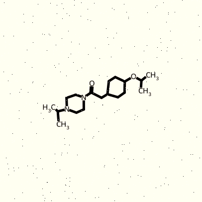 CC(C)OC1CCC(CC(=O)N2CCN(C(C)C)CC2)CC1